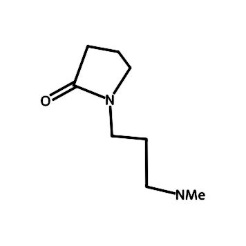 [CH2-][NH2+]CCCN1CCCC1=O